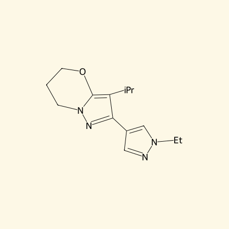 CCn1cc(-c2nn3c(c2C(C)C)OCCC3)cn1